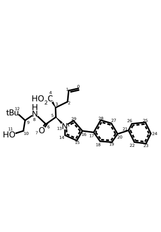 C=CC[C@H](C(=O)O)[C@H](C(=O)NC(CO)C(C)(C)C)n1ccc(-c2ccc(-c3ccccc3)cc2)c1